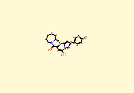 CCc1cc(C(=O)N2CCCCCC2C)nc2cc(-c3ccc(Br)nc3)nn12